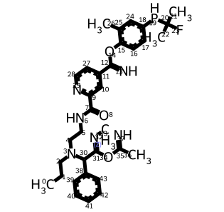 CCCN(CCNC(=O)c1cc(C(=N)Oc2ccc(PC(C)(C)F)cc2C)ccn1)C(/C(=N/C)OC(C)=N)c1ccccc1